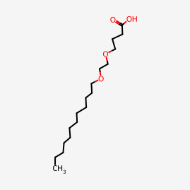 CCCCCCCCCCCCOCCOCCCC(=O)O